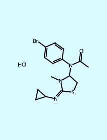 CC(=O)N(c1ccc(Br)cc1)C1CSC(=NC2CC2)N1C.Cl